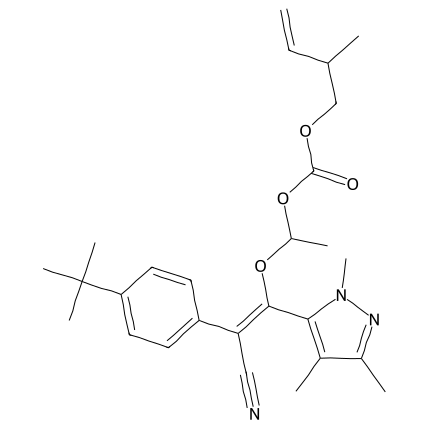 C=CC(C)COC(=O)OC(C)O/C(=C(/C#N)c1ccc(C(C)(C)C)cc1)c1c(C)c(C)nn1C